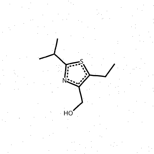 CCc1sc(C(C)C)nc1CO